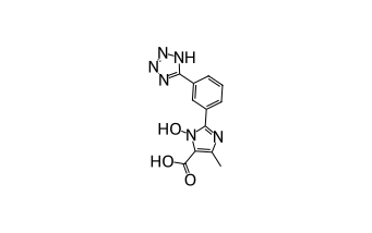 Cc1nc(-c2cccc(-c3nnn[nH]3)c2)n(O)c1C(=O)O